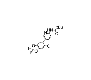 CC(C)(C)C(=O)Nc1ccc(-c2cc3c(cc2Cl)OC(F)(F)O3)cn1